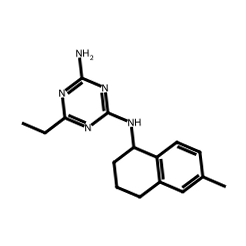 CCc1nc(N)nc(NC2CCCc3cc(C)ccc32)n1